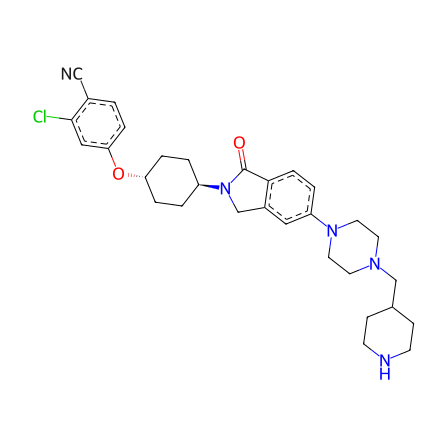 N#Cc1ccc(O[C@H]2CC[C@H](N3Cc4cc(N5CCN(CC6CCNCC6)CC5)ccc4C3=O)CC2)cc1Cl